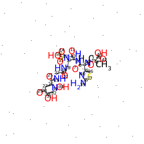 CC(C)(ON=C(C(=O)N[C@@H]1C(=O)N(S(=O)(=O)O)[C@@H]1CNC(=O)CNC(=O)c1cc(=O)c(O)cn1O)c1csc(N)n1)C(=O)O